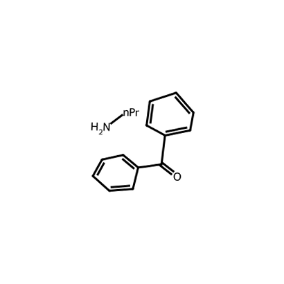 CCCN.O=C(c1ccccc1)c1ccccc1